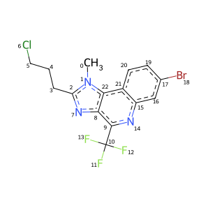 Cn1c(CCCCl)nc2c(C(F)(F)F)nc3cc(Br)ccc3c21